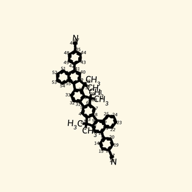 CC1(C)c2cc3c(cc2-c2c1cc(-c1ccc(C#N)cc1)c1ccccc21)C(C)(C)c1c-3ccc2c1C(C)(C)c1cc(-c3ccc(C#N)cc3)c3ccccc3c1-2